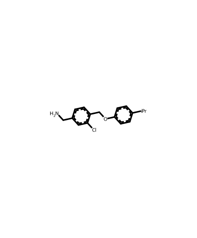 CC(C)c1ccc(OCc2ccc(CN)cc2Cl)cc1